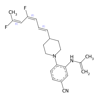 C=C(C)Nc1cc(C#N)ccc1N1CCC(/C=C/C=C(F)\C=C(/C)F)CC1